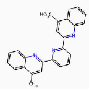 Cc1cc(-c2cccc(-c3cc(C(=O)O)c4ccccc4n3)n2)nc2ccccc12